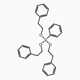 c1ccc(CCO[Si](OCCc2ccccc2)(OCCc2ccccc2)c2ccccc2)cc1